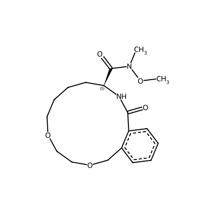 CON(C)C(=O)[C@@H]1CCCCOCCOCc2ccccc2C(=O)N1